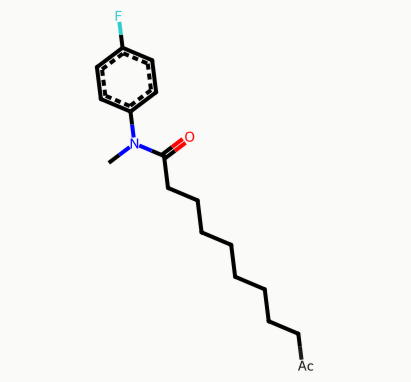 CC(=O)CCCCCCCCC(=O)N(C)c1ccc(F)cc1